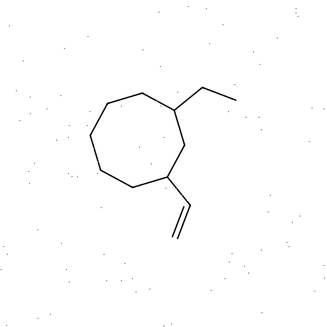 C=CC1CCCCCC(CC)C1